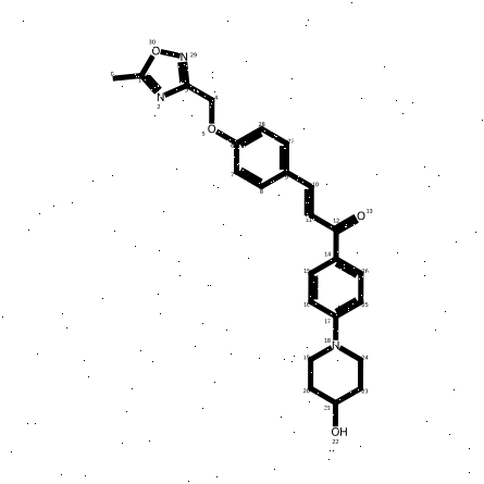 Cc1nc(COc2ccc(C=CC(=O)c3ccc(N4CCC(O)CC4)cc3)cc2)no1